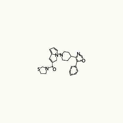 O=C(C1=CC2=CC=C[N@@+]2(N2CCC(c3ncoc3-c3ccccc3)CC2)C1)N1CCSC1